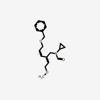 COC/C=C(\C=C/COCc1ccccc1)CN(C=O)C1CC1